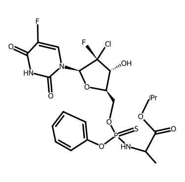 CC(C)OC(=O)C(C)NP(=S)(OC[C@H]1O[C@@H](n2cc(F)c(=O)[nH]c2=O)[C@](F)(Cl)[C@@H]1O)Oc1ccccc1